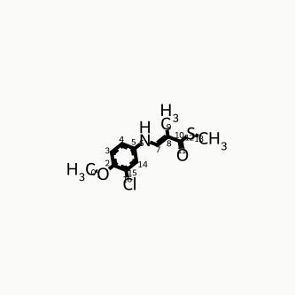 COc1ccc(N/C=C(\C)C(=O)SC)cc1Cl